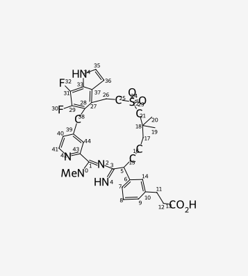 CN/C1=N\C(=N)C(c2cccc(CCC(=O)O)c2)CCCC(C)(C)CS(=O)(=O)CCc2c(c(F)c(F)c3[nH]ccc23)Cc2ccnc1c2